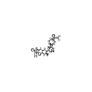 O=C1NC(=O)/C(=C\c2ccc(F)c(-c3cncc(N4CCCN(C(=O)C5CC5)CC4)n3)c2)S1